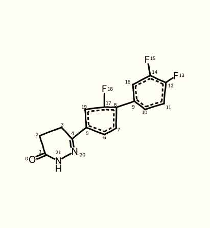 O=C1CCC(c2ccc(-c3ccc(F)c(F)c3)c(F)c2)=NN1